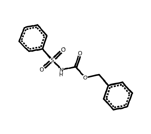 O=C(NS(=O)(=O)c1ccccc1)OCc1ccccc1